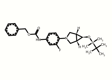 CC(C)(C)[Si](C)(C)O[C@H]1[C@@H]2CN(c3ccc(NC(=O)OCc4ccccc4)cc3F)C[C@@H]21